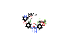 CNC(=O)c1cc(Oc2ccc(NC(=O)Nc3ccc4c(c3)C(F)(F)OC(F)(F)O4)cc2Cl)ccn1